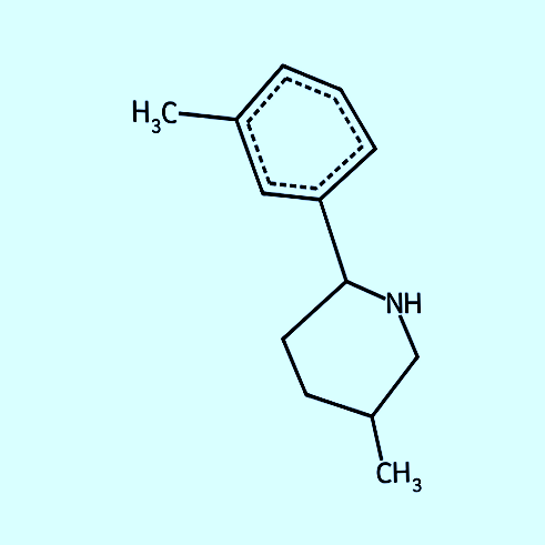 Cc1cccc(C2CCC(C)CN2)c1